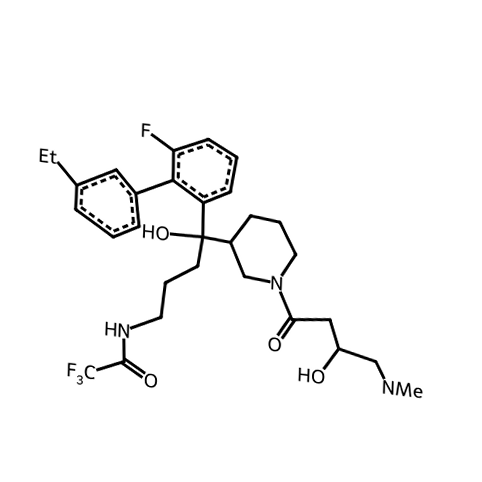 CCc1cccc(-c2c(F)cccc2C(O)(CCCNC(=O)C(F)(F)F)C2CCCN(C(=O)CC(O)CNC)C2)c1